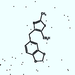 Cc1nc(Cc2ccc3c(c2)OCO3)c(C(=O)O)s1